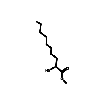 CCCCCCCCC(S)C(=O)OC